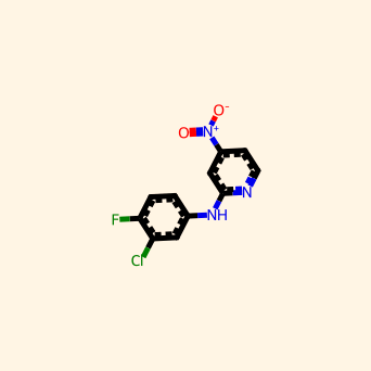 O=[N+]([O-])c1ccnc(Nc2ccc(F)c(Cl)c2)c1